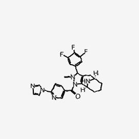 CN1C(c2cc(F)c(F)c(F)c2)C2=C([C@@H]3CCC[C@H](C2)N3)N1C(=O)c1ccc(-n2ccnc2)nc1